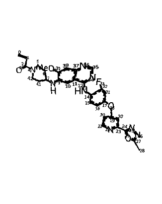 C=CC(=O)N1CCC(Nc2cc3c(Nc4ccc(Oc5ccnc(-c6nnc(C)o6)c5)cc4F)ncnc3cc2OC)CC1